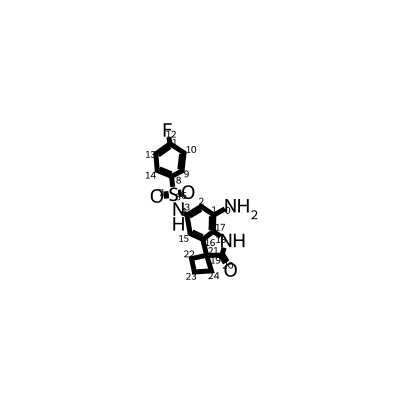 Nc1cc(NS(=O)(=O)c2ccc(F)cc2)cc2c1NC(=O)C21CCC1